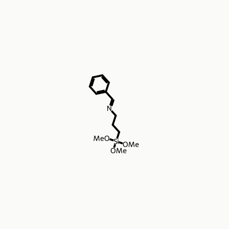 CO[Si](CCCN=Cc1ccccc1)(OC)OC